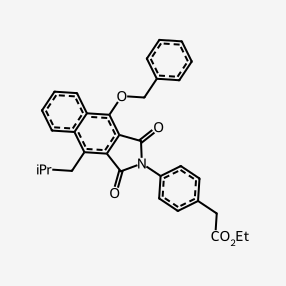 CCOC(=O)Cc1ccc(N2C(=O)c3c(c(OCc4ccccc4)c4ccccc4c3CC(C)C)C2=O)cc1